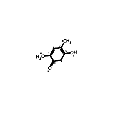 CC1=CC(C)=C(O)CC1=O